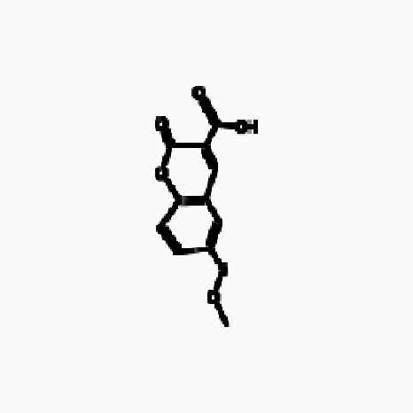 COSc1ccc2oc(=O)c(C(=O)O)cc2c1